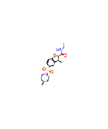 CCNC(=O)C1Oc2ccc(S(=O)(=O)N3CCC(C)CC3)cc2C1C